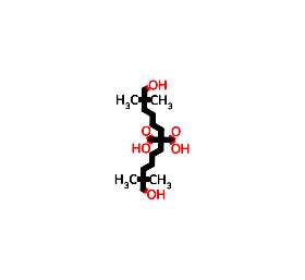 CC(C)(CO)CCCCC(CCCCC(C)(C)CO)(C(=O)O)C(=O)O